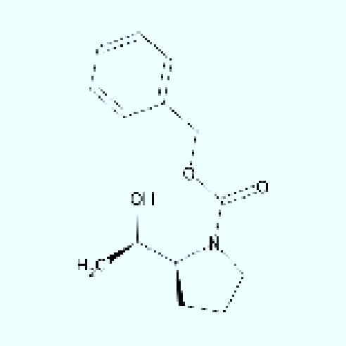 C[C@@H](O)[C@@H]1CCCN1C(=O)OCc1ccccc1